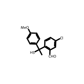 COc1ccc(C(C)(S)c2ccc(Cl)cc2C=O)cc1